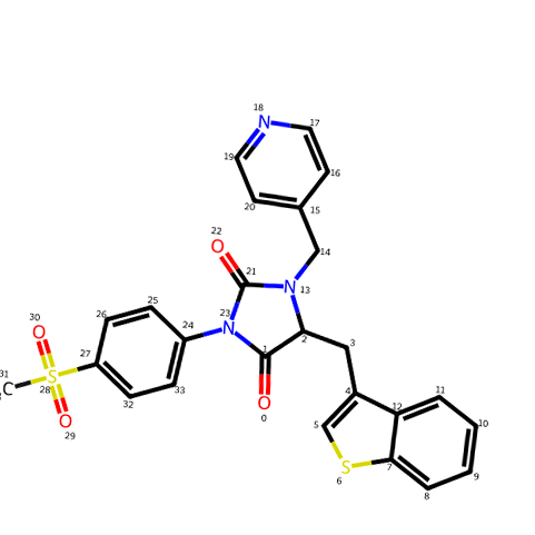 O=C1C(Cc2csc3ccccc23)N(Cc2ccncc2)C(=O)N1c1ccc(S(=O)(=O)C(F)(F)F)cc1